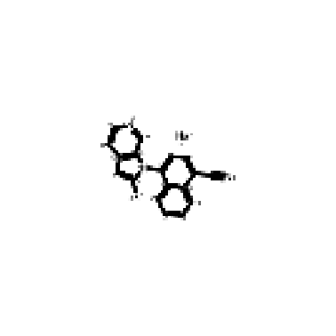 N#Cc1ccc(-n2c([S-])cc3ccncc32)c2ccccc12.[Na+]